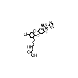 O=C(O)CNCCCc1cc(Cl)ccc1Oc1cc(F)c(S(=O)(=O)Nc2ncns2)cc1Cl